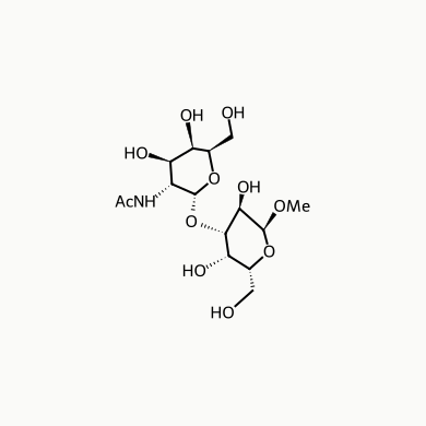 CO[C@H]1O[C@H](CO)[C@H](O)[C@H](O[C@H]2O[C@H](CO)[C@H](O)[C@H](O)[C@H]2NC(C)=O)[C@H]1O